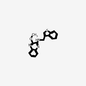 COc1nc2ccccc2nc1NCc1csc2ccccc12